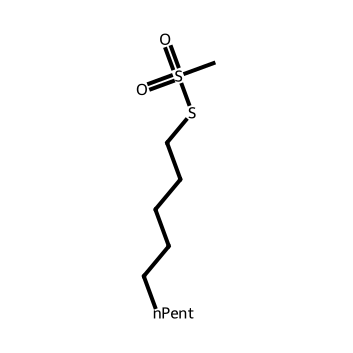 CCCCCCCCCCSS(C)(=O)=O